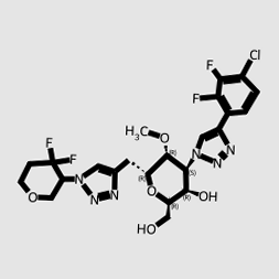 CO[C@@H]1[C@@H](n2cc(-c3ccc(Cl)c(F)c3F)nn2)[C@@H](O)[C@@H](CO)O[C@@H]1Cc1cn(C2COCCC2(F)F)nn1